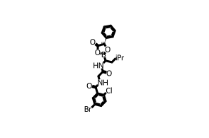 CC(C)CC(NC(=O)CNC(=O)c1cc(Br)ccc1Cl)B1OC(=O)[C@H](c2ccccc2)O1